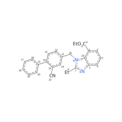 CCOC(=O)c1cccc2nc(CC)n(Cc3ccc(-c4ccccc4)c(C#N)c3)c12